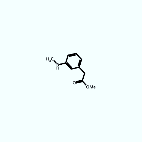 CBc1cccc(CC(=O)OC)c1